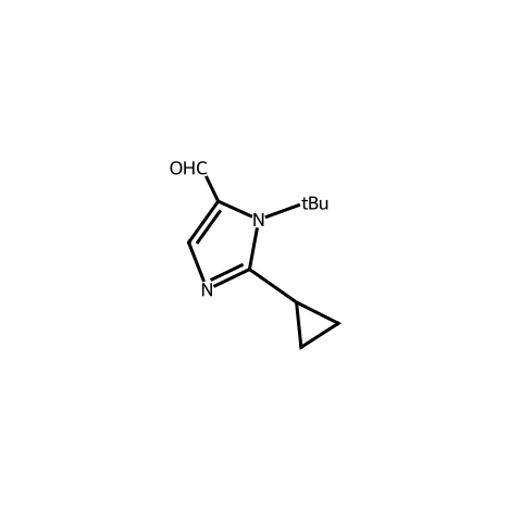 CC(C)(C)n1c(C=O)cnc1C1CC1